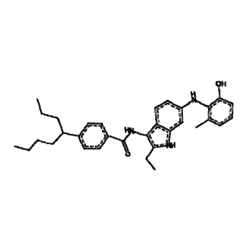 CCCCC(CCC)c1ccc(C(=O)Nc2c(CC)[nH]c3cc(Nc4c(C)cccc4O)ccc23)cc1